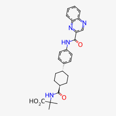 CC(C)(NC(=O)[C@H]1CC[C@H](c2ccc(NC(=O)c3cnc4ccccc4n3)cc2)CC1)C(=O)O